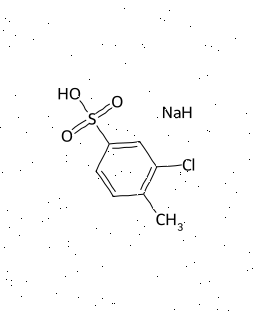 Cc1ccc(S(=O)(=O)O)cc1Cl.[NaH]